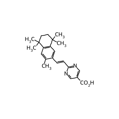 Cc1cc2c(cc1C=Cc1ncc(C(=O)O)cn1)C(C)(C)CCC2(C)C